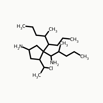 CCCC(C)C(N)C1(C(CCC)C(C)CCC)CC(N)CC1C(C)Cl